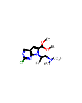 CCOC(OCC)c1cc2cnc(Cl)nc2n1C(CN(C(=O)O)C(C)(C)C)C(C)C